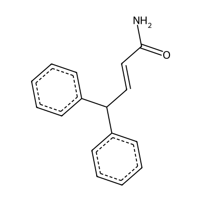 NC(=O)C=CC(c1ccccc1)c1ccccc1